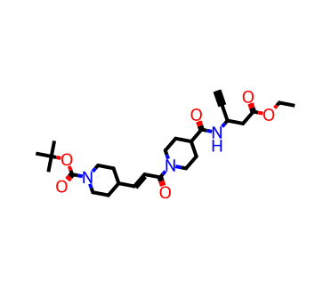 C#CC(CC(=O)OCC)NC(=O)C1CCN(C(=O)/C=C/C2CCN(C(=O)OC(C)(C)C)CC2)CC1